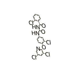 O=C(NC(=O)c1ccccc1Cl)Nc1ccc(Oc2ncc(Cl)cc2Cl)c(Cl)c1